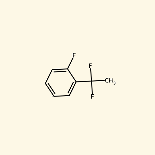 CC(F)(F)c1c[c]ccc1F